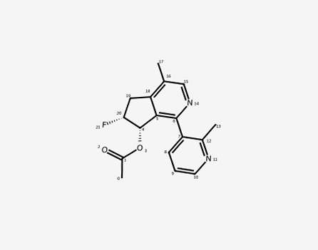 CC(=O)O[C@H]1c2c(-c3cccnc3C)ncc(C)c2C[C@H]1F